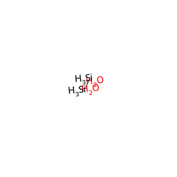 O.O.[SiH3][SiH3]